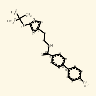 CC(C)(Sc1nc(CCNC(=O)c2ccc(-c3ccc(C(F)(F)F)cc3)cc2)cs1)C(=O)O